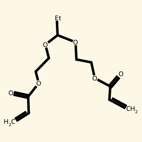 C=CC(=O)OCCOC(CC)OCCOC(=O)C=C